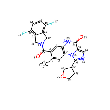 Cc1cc2c(cc1C(=O)N1Cc3c(F)ccc(F)c3C1)[nH]c(=O)c1cnc(C3CCOC3)n12